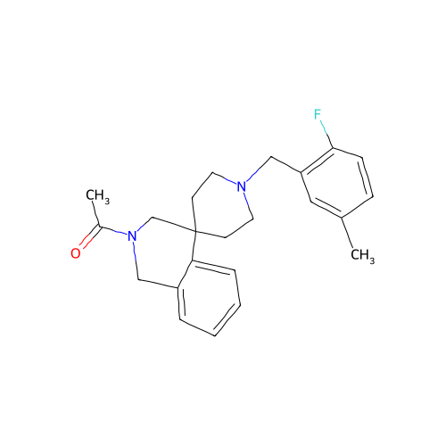 CC(=O)N1Cc2ccccc2C2(CCN(Cc3cc(C)ccc3F)CC2)C1